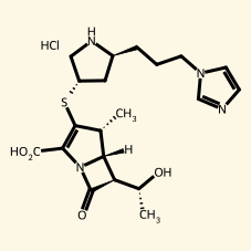 C[C@@H](O)[C@H]1C(=O)N2C(C(=O)O)=C(S[C@@H]3CN[C@@H](CCCn4ccnc4)C3)[C@H](C)[C@H]12.Cl